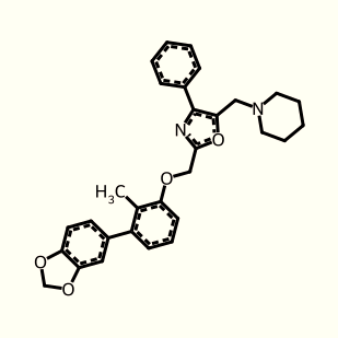 Cc1c(OCc2nc(-c3ccccc3)c(CN3CCCCC3)o2)cccc1-c1ccc2c(c1)OCO2